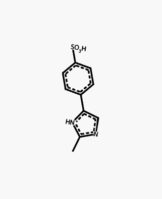 Cc1ncc(-c2ccc(S(=O)(=O)O)cc2)[nH]1